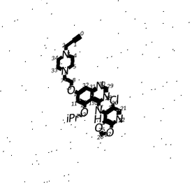 C#CCN1CCN(CCOc2cc(OC(C)C)c3c(Nc4c(Cl)cnc5c4OCO5)ncnc3c2)CC1